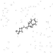 FC1(F)CC(CSc2nc3ccccc3s2)C1